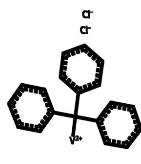 [Cl-].[Cl-].[V+2][C](c1ccccc1)(c1ccccc1)c1ccccc1